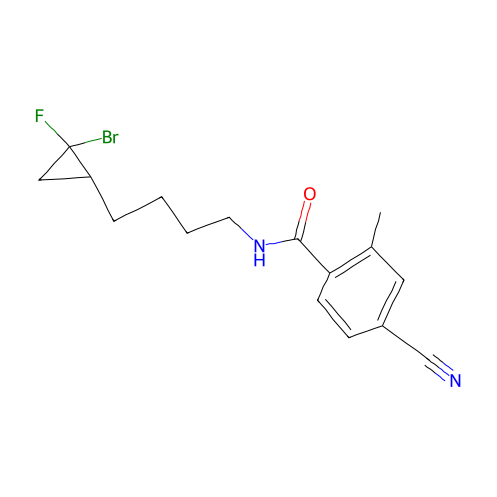 Cc1cc(C#N)ccc1C(=O)NCCCCC1CC1(F)Br